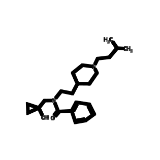 CC(C)CCN1CCC(CCN(CC2(O)CC2)C(=O)c2ccccc2)CC1